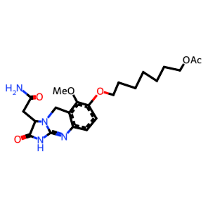 COc1c(OCCCCCCCOC(C)=O)ccc2c1CN1C(=N2)NC(=O)C1CC(N)=O